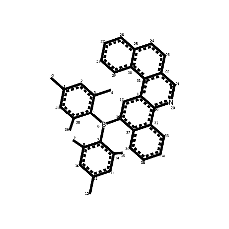 Cc1cc(C)c(B(c2c(C)cc(C)cc2C)c2cc3c(ncc4ccc5ccccc5c43)c3ccccc23)c(C)c1